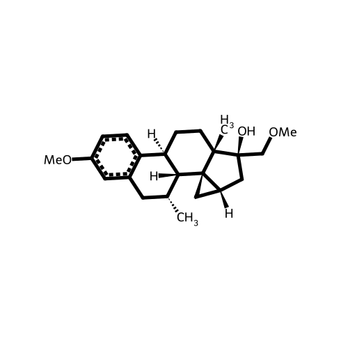 COC[C@]1(O)C[C@@H]2C[C@]23[C@@H]2[C@H](C)Cc4cc(OC)ccc4[C@H]2CC[C@]13C